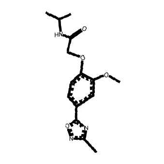 COc1cc(-c2nc(C)no2)ccc1OCC(=O)NC(C)C